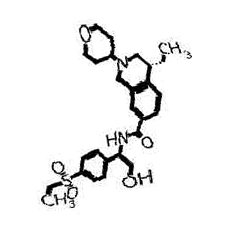 CC[C@H]1CN(C2CCOCC2)Cc2cc(C(=O)NC(CO)c3ccc(S(=O)(=O)CC)cc3)ccc21